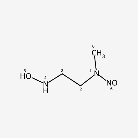 CN(CCNO)N=O